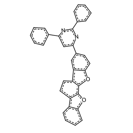 c1ccc(-c2cc(-c3ccc4oc5c(ccc6c7ccccc7oc65)c4c3)nc(-c3ccccc3)n2)cc1